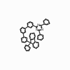 c1ccc(-c2nc(-c3ccccc3)nc(-c3cccc(-c4cccc(-c5cccc(C6(c7ccccc7)c7ccccc7-c7ccccc76)c5)c4)c3)n2)cc1